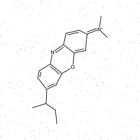 CCC(C)c1ccc2nc3ccc(=[N+](C)C)cc-3oc2c1